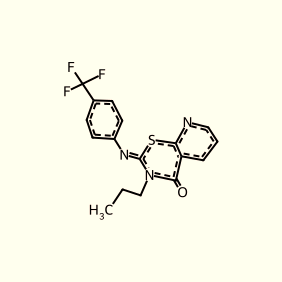 CCCn1c(=O)c2cccnc2s/c1=N\c1ccc(C(F)(F)F)cc1